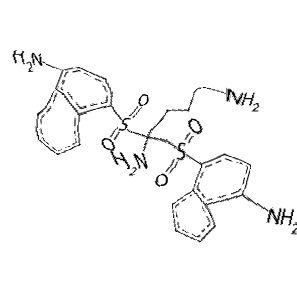 NCCCC(N)(S(=O)(=O)c1ccc(N)c2ccccc12)S(=O)(=O)c1ccc(N)c2ccccc12